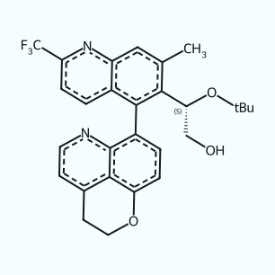 Cc1cc2nc(C(F)(F)F)ccc2c(-c2ccc3c4c(ccnc24)CCO3)c1[C@@H](CO)OC(C)(C)C